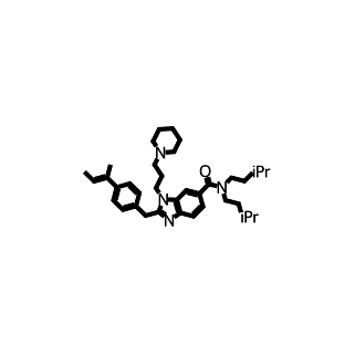 C/C=C(\C)c1ccc(Cc2nc3ccc(C(=O)N(CCC(C)C)CCC(C)C)cc3n2CCCN2CCCCC2)cc1